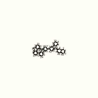 c1ccc2cc(-n3c4ccccc4c4cc(-c5ccc6c(c5)c5ccccc5n6-c5cccc6sc7ccccc7c56)ccc43)ccc2c1